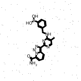 Cc1cnc(-c2nnn3c(C(N)=O)cccc23)nc1NCc1cccc(B(O)O)c1